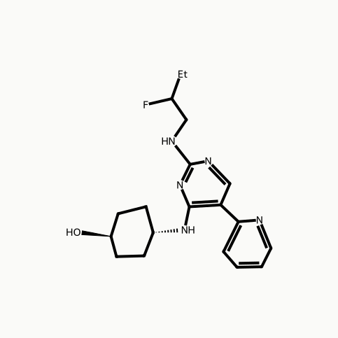 CCC(F)CNc1ncc(-c2ccccn2)c(N[C@H]2CC[C@H](O)CC2)n1